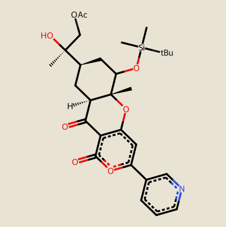 CC(=O)OC[C@](C)(O)[C@H]1CC(O[Si](C)(C)C(C)(C)C)[C@]2(C)Oc3cc(-c4cccnc4)oc(=O)c3C(=O)[C@H]2C1